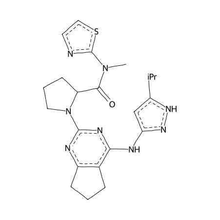 CC(C)c1cc(Nc2nc(N3CCCC3C(=O)N(C)c3nccs3)nc3c2CCC3)n[nH]1